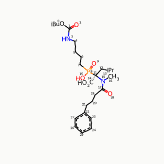 CC(C)COC(=O)NCCCCP(=O)(O)[C@](CC(C)C)(C(=O)O)N(C)C(=O)CCCc1ccccc1